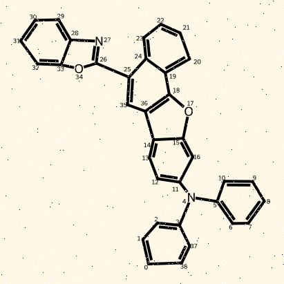 c1ccc(N(c2ccccc2)c2ccc3c(c2)oc2c4ccccc4c(-c4nc5ccccc5o4)cc32)cc1